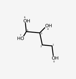 OCCC(O)C(O)O